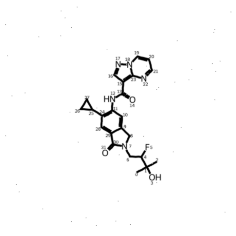 CC(C)(O)C(F)CN1Cc2cc(NC(=O)c3cnn4cccnc34)c(C3CC3)cc2C1=O